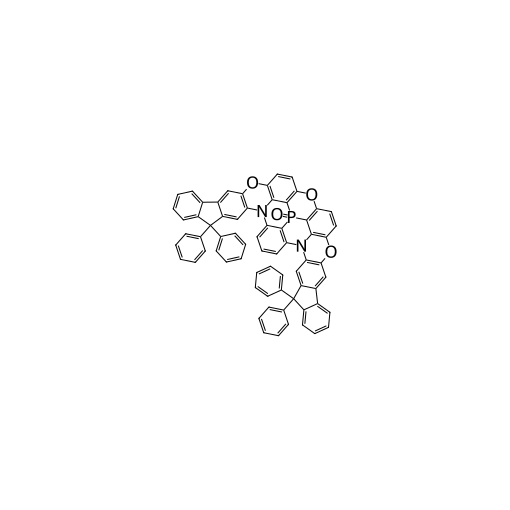 O=P12c3c4cccc3N3c5cc6c(cc5Oc5ccc(c1c53)Oc1ccc3c(c12)N4c1cc2c(cc1O3)-c1ccccc1C2(c1ccccc1)c1ccccc1)-c1ccccc1C6(c1ccccc1)c1ccccc1